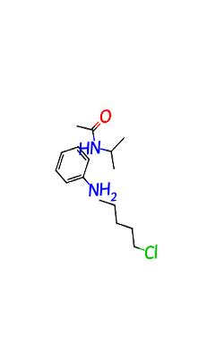 CC(=O)NC(C)C.CCCCCCl.Nc1ccccc1